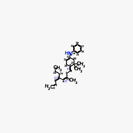 C=C/C=C(\C=C(\C)C/C=C1\CC=C(Nc2ccccc2)CC1(C)C)CCC